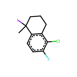 CC1(I)CCCc2c1ccc(F)c2Cl